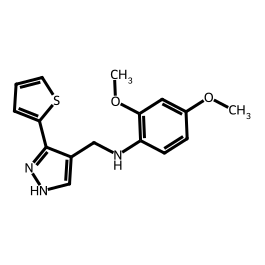 COc1ccc(NCc2c[nH]nc2-c2cccs2)c(OC)c1